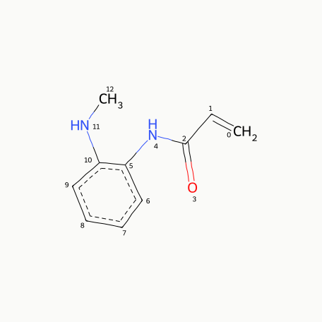 C=CC(=O)Nc1ccccc1NC